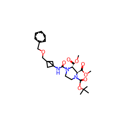 COC(=O)[C@@H]1[C@@H](C(=O)OC)N(C(=O)OC(C)(C)C)CCN1C(=O)NC12CC(COCc3ccccc3)(C1)C2